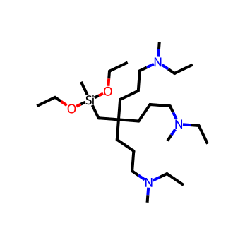 CCO[Si](C)(CC(CCCN(C)CC)(CCCN(C)CC)CCCN(C)CC)OCC